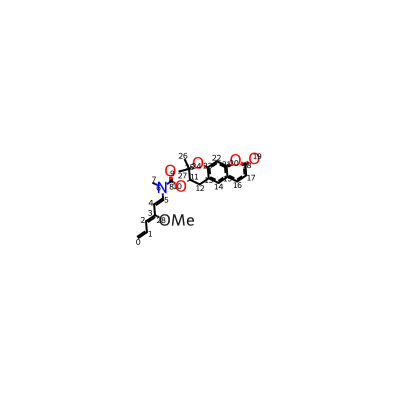 C=C/C=C(/C=C/N(C)C(=O)O[C@H]1Cc2cc3ccc(=O)oc3cc2OC1(C)C)OC